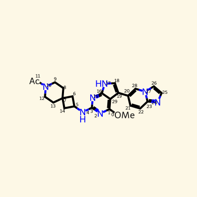 COc1nc(NC2CC3(CCN(C(C)=O)CC3)C2)nc2[nH]cc(-c3ccc4nccn4c3)c12